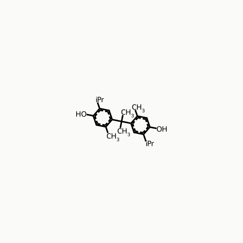 Cc1cc(O)c(C(C)C)cc1C(C)(C)c1cc(C(C)C)c(O)cc1C